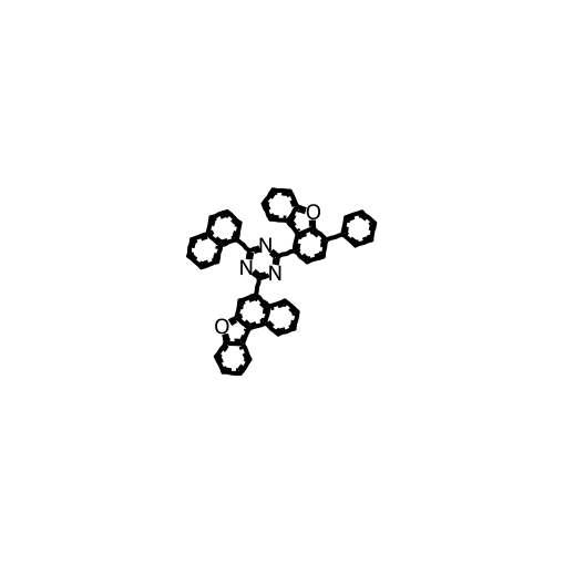 c1ccc(-c2ccc(-c3nc(-c4cccc5ccccc45)nc(-c4cc5oc6ccccc6c5c5ccccc45)n3)c3c2oc2ccccc23)cc1